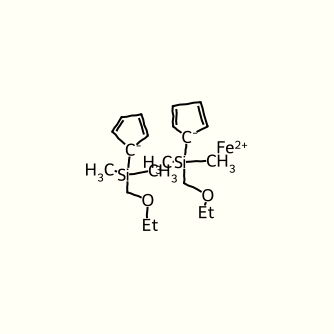 CCOC[Si](C)(C)[c-]1cccc1.CCOC[Si](C)(C)[c-]1cccc1.[Fe+2]